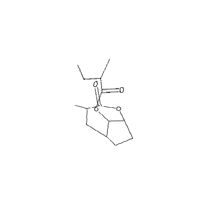 CCC(C)C(=O)OC1C2CCC1OC(=O)C(C)C2